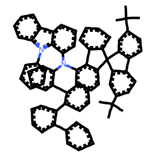 CC(C)(C)c1ccc2c(c1)C1(c3cc(C(C)(C)C)ccc3-2)c2ccccc2-c2c(N(c3ccccc3-c3ccccc3-c3ccccc3-c3ccccc3)c3cccc4c5ccccc5n(-c5ccccc5)c34)cccc21